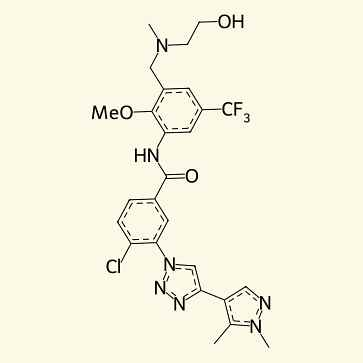 COc1c(CN(C)CCO)cc(C(F)(F)F)cc1NC(=O)c1ccc(Cl)c(-n2cc(-c3cnn(C)c3C)nn2)c1